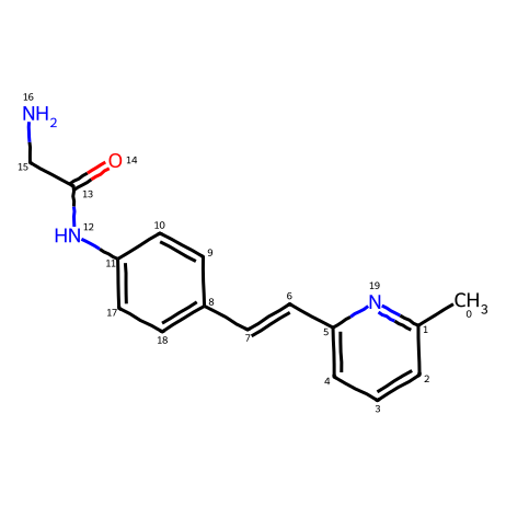 Cc1cccc(/C=C/c2ccc(NC(=O)CN)cc2)n1